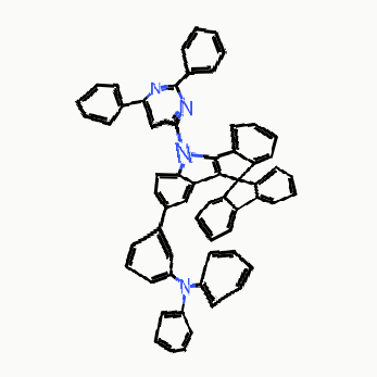 c1ccc(-c2cc(-n3c4c(c5cc(-c6cccc(N(c7ccccc7)c7ccccc7)c6)ccc53)C3(c5ccccc5-c5ccccc53)c3ccccc3-4)nc(-c3ccccc3)n2)cc1